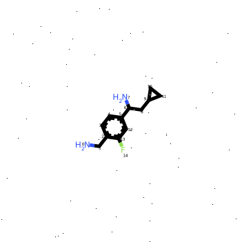 NCc1ccc(C(N)CC2CC2)cc1F